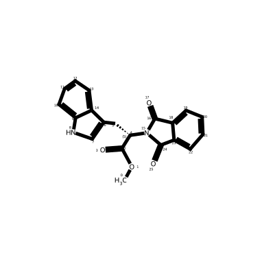 COC(=O)[C@H](Cc1c[nH]c2ccccc12)N1C(=O)c2ccccc2C1=O